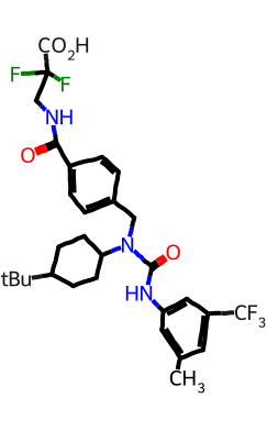 Cc1cc(NC(=O)N(Cc2ccc(C(=O)NCC(F)(F)C(=O)O)cc2)C2CCC(C(C)(C)C)CC2)cc(C(F)(F)F)c1